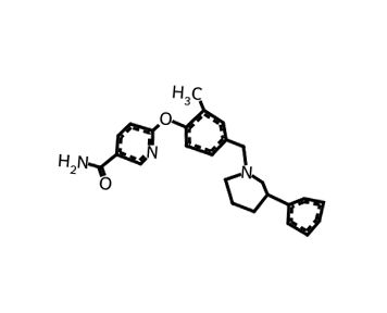 Cc1cc(CN2CCCC(c3ccccc3)C2)ccc1Oc1ccc(C(N)=O)cn1